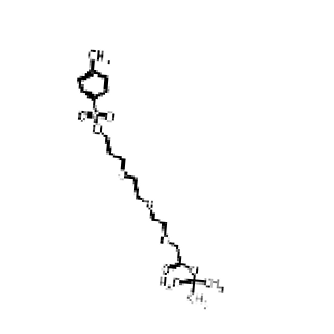 Cc1ccc(S(=O)(=O)OCCCOCCOCCOCC(=O)OC(C)(C)C)cc1